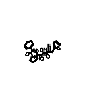 O=C(NCc1cccs1)[C@H](O)[C@@H](O)C(=O)N1CCC[C@H]1C(=O)Nc1ccccc1